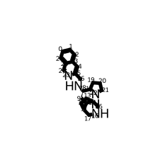 c1ccc2cc(CN[C@@H](CC3C4CCC3CNC4)C3CCCN3)ncc2c1